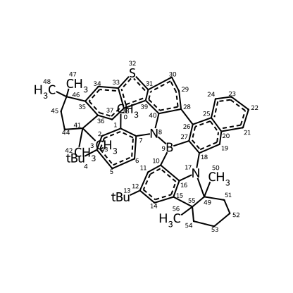 Cc1cc(C(C)(C)C)ccc1N1B2c3cc(C(C)(C)C)cc4c3N(c3cc5ccccc5c(c32)-c2ccc3sc5cc6c(cc5c3c21)C(C)(C)CCC6(C)C)C1(C)CCCCC41C